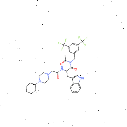 CC(=O)N(Cc1cc(C(F)(F)F)cc(C(F)(F)F)c1)C(=O)C(Cc1c[nH]c2ccccc12)NC(=O)CN1CCN(C2CCCCC2)CC1